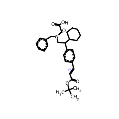 CC(C)(C)OC(=O)/C=C/c1ccc(C(CN(Cc2ccccc2)C(=O)C(=O)O)C2CCCCC2)cc1